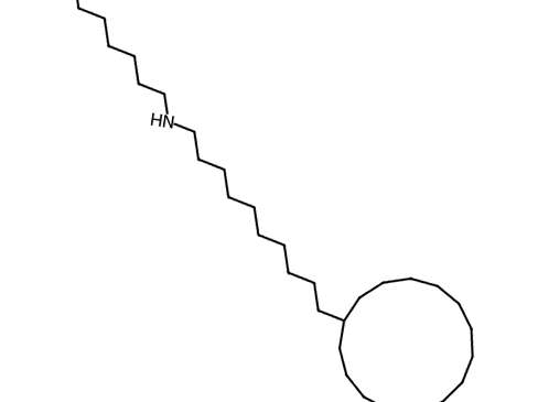 CCCCCCCNCCCCCCCCCCC1CCCCCCCCCCCCCC1